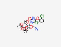 CC(C)[Si]1(C(C)C)OC[C@H]2O[C@@H](n3ccc(Oc4c(Cl)cccc4Cl)nc3=O)[C@H](OCC#N)[C@@H]2O[Si](C(C)C)(C(C)C)O1